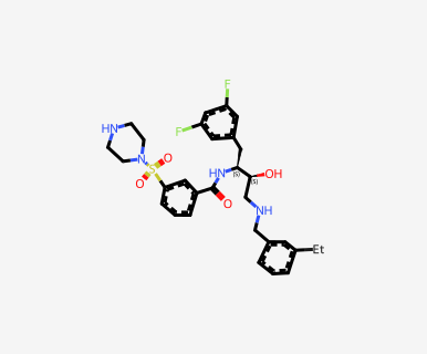 CCc1cccc(CNC[C@H](O)[C@H](Cc2cc(F)cc(F)c2)NC(=O)c2cccc(S(=O)(=O)N3CCNCC3)c2)c1